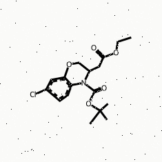 CCOC(=O)CC1COc2cc(Cl)ccc2N1C(=O)OC(C)(C)C